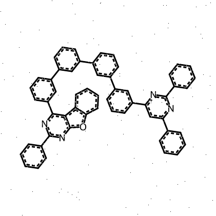 c1ccc(-c2cc(-c3cccc(-c4cccc(-c5cccc(-c6cccc(-c7nc(-c8ccccc8)nc8oc9ccccc9c78)c6)c5)c4)c3)nc(-c3ccccc3)n2)cc1